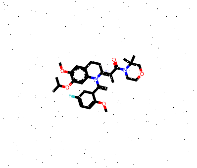 C=C(C1CC(F)=CC=C1OC)N1/C(=C(\C)C(=O)N2CCOCC2(C)C)CCc2cc(OC)c(OC(C)C)cc21